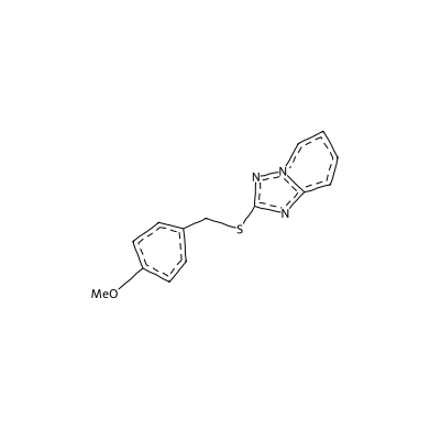 COc1ccc(CSc2nc3ccccn3n2)cc1